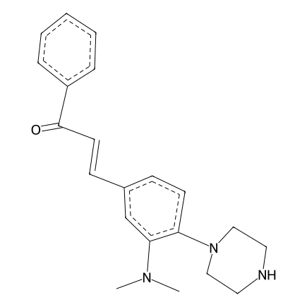 CN(C)c1cc(/C=C/C(=O)c2ccccc2)ccc1N1CCNCC1